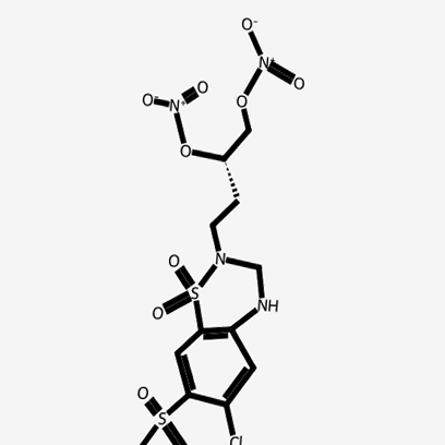 NS(=O)(=O)c1cc2c(cc1Cl)NCN(CC[C@@H](CO[N+](=O)[O-])O[N+](=O)[O-])S2(=O)=O